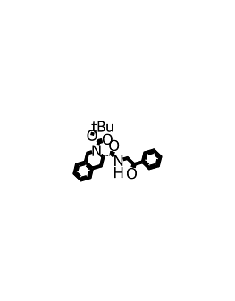 CC(C)(C)OC(=O)N1Cc2ccccc2C[C@H]1C(=O)NCC(=O)c1ccccc1